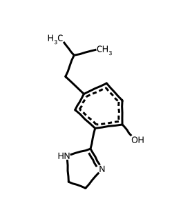 CC(C)Cc1ccc(O)c(C2=NCCN2)c1